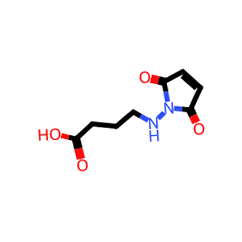 O=C(O)CCCNN1C(=O)C=CC1=O